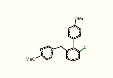 COc1ccc(Cc2cccc(Cl)c2-c2ccc(OC)cc2)cc1